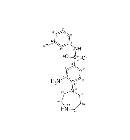 Nc1cc(S(=O)(=O)Nc2cccc(F)c2)ccc1N1CCCNCC1